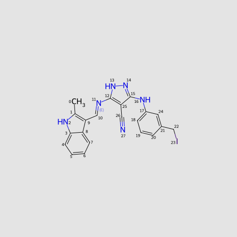 Cc1[nH]c2ccccc2c1/C=N/c1[nH]nc(Nc2cccc(CI)c2)c1C#N